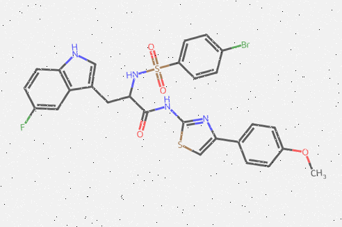 COc1ccc(-c2csc(NC(=O)C(Cc3c[nH]c4ccc(F)cc34)NS(=O)(=O)c3ccc(Br)cc3)n2)cc1